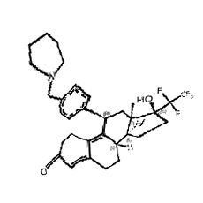 C[C@]12C[C@H](c3ccc(CN4CCCCC4)cc3)C3=C4CCC(=O)C=C4CC[C@H]3[C@@H]1CC[C@@]2(O)C(F)(F)C(F)(F)F